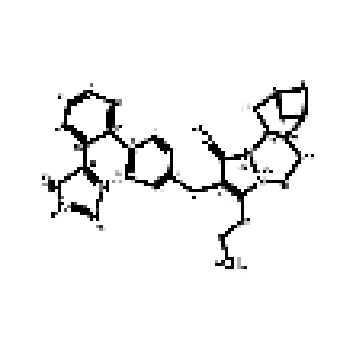 CCCc1c(Cc2ccc(-c3ccccc3-c3nnn[nH]3)cc2)c(=O)n2n1CCC1C3CC(C3)CC12